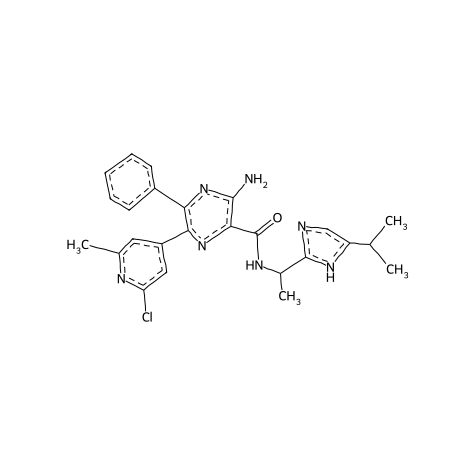 Cc1cc(-c2nc(C(=O)NC(C)c3ncc(C(C)C)[nH]3)c(N)nc2-c2ccccc2)cc(Cl)n1